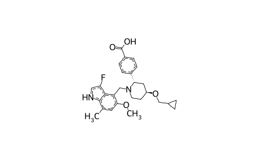 COc1cc(C)c2[nH]cc(F)c2c1CN1CC[C@H](OCC2CC2)C[C@H]1c1ccc(C(=O)O)cc1